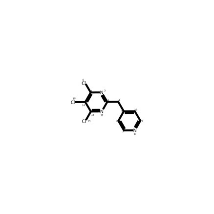 Clc1nc(Cc2ccncc2)nc(Cl)c1Cl